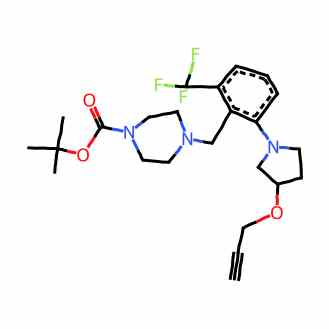 C#CCOC1CCN(c2cccc(C(F)(F)F)c2CN2CCN(C(=O)OC(C)(C)C)CC2)C1